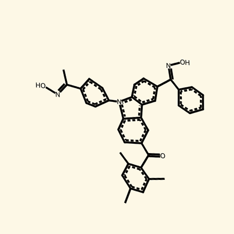 CC(=NO)c1ccc(-n2c3ccc(C(=O)c4c(C)cc(C)cc4C)cc3c3cc(C(=NO)c4ccccc4)ccc32)cc1